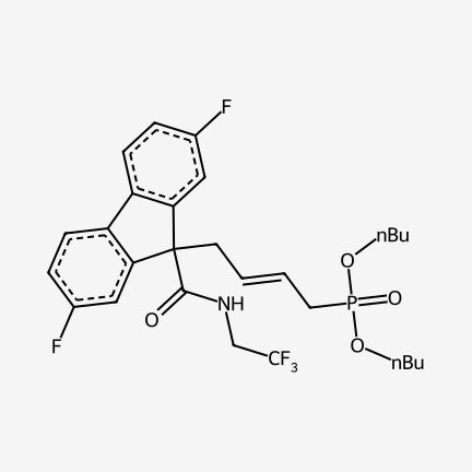 CCCCOP(=O)(CC=CCC1(C(=O)NCC(F)(F)F)c2cc(F)ccc2-c2ccc(F)cc21)OCCCC